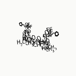 CN[C@@H](C)C(=O)N[C@@H](CCC(=O)NCC(C)NC(=O)CC[C@H](NC(=O)[C@H](C)NC)C(=O)N1CCC[C@H]1CN(CCc1ccccc1)C(=O)C(F)(F)F)C(=O)N1CCC[C@H]1CN(CCc1ccccc1)C(=O)C(F)(F)F